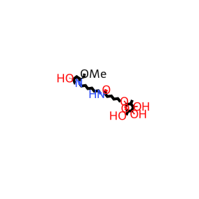 COC[C@@H]1C[C@@H](O)CN1CCCCCCNC(=O)CCCCCO[C@@H]1OC(CO)[C@H](O)[C@H](O)C1C